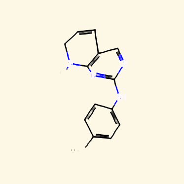 CCCN1CC=Cc2cnc(Nc3ccc(OC)cc3)nc21